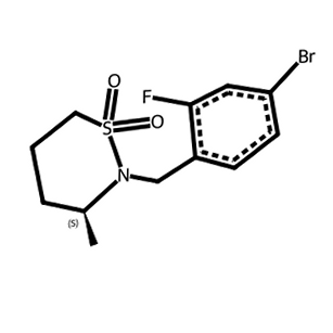 C[C@H]1CCCS(=O)(=O)N1Cc1ccc(Br)cc1F